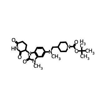 CN(CC1CCN(C(=O)OC(C)(C)C)CC1)c1ccc2c(c1)n(C)c(=O)n2C1CCC(=O)NC1=O